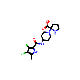 Cc1[nH]c(C(=O)NC2CCN([C@@]3(C(=O)O)CCCN3)CC2)c(Cl)c1Cl